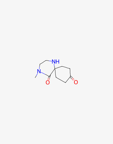 CN1CCNC2(CCC(=O)CC2)C1=O